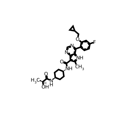 Cc1[nH]c2c(-c3ccc(F)cc3OCC3CC3)ncnc2c1C(=O)N[C@H]1CC[C@H](NC(=O)[C@H](C)O)CC1